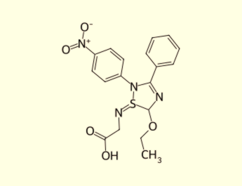 CCOC1N=C(c2ccccc2)N(c2ccc([N+](=O)[O-])cc2)S1=NCC(=O)O